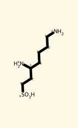 NCCCCC(N)CCS(=O)(=O)O